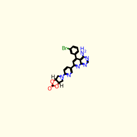 Nc1ncnc2nc(-c3ccc(N4C[C@@H]5OC(=O)O[C@@H]5C4)nc3)cc(-c3cccc(Br)c3)c12